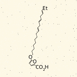 CCC=CCC=CCC=CCCCCCCCCOc1ccc(C(=O)O)o1